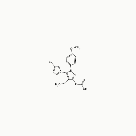 CCc1c(OC(=O)O)nn(-c2ccc(OC)cc2)c1-c1ccc(Cl)s1